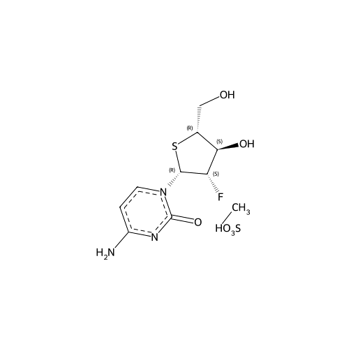 CS(=O)(=O)O.Nc1ccn([C@@H]2S[C@H](CO)[C@@H](O)[C@@H]2F)c(=O)n1